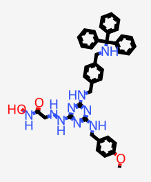 COc1ccc(CNc2nc(NCc3ccc(CNC(c4ccccc4)(c4ccccc4)c4ccccc4)cc3)nc(NNCC(=O)NO)n2)cc1